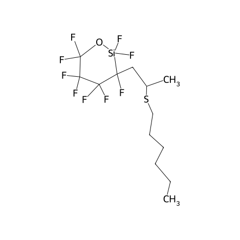 CCCCCCSC(C)CC1(F)C(F)(F)C(F)(F)C(F)(F)O[Si]1(F)F